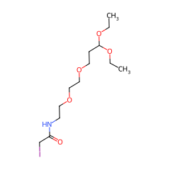 CCOC(CCOCCOCCNC(=O)CI)OCC